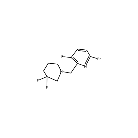 Fc1ccc(Br)nc1CN1CCCC(F)(F)C1